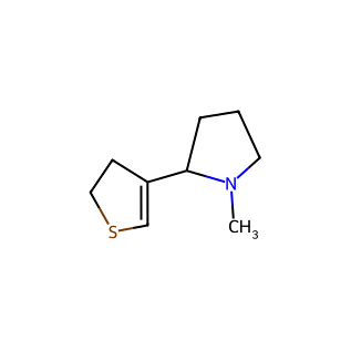 CN1CCCC1C1=CSCC1